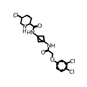 O=C(COc1ccc(Cl)c(Cl)c1)NC12CC(NC(=O)C3CCC(Cl)CN3)(C1)C2